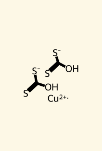 OC(=S)[S-].OC(=S)[S-].[Cu+2]